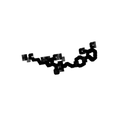 CCCCc1cc(C(=O)NCCCN2CCN(c3cccc(Cl)c3Cl)CC2)c(C)[nH]1